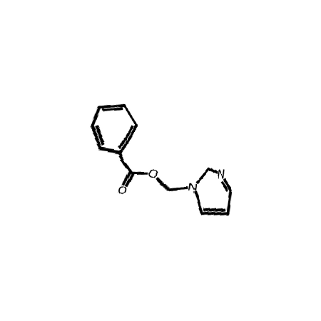 O=C(OCN1C=CC=NC1)c1ccccc1